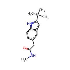 CNC(=O)Cc1ccc2[nH]c([Si](C)(C)C)cc2c1